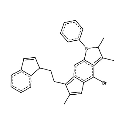 CC1=Cc2c(Br)c3c(cc2=C1CCC1C=Cc2ccccc21)N(c1ccccc1)C(C)C=3C